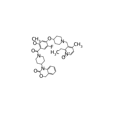 CCc1c(CN2CCC(Oc3cc(OC)c(C(=O)N4CCC(N5C(=O)OCc6ccccc65)CC4)cc3F)CC2)c(C)cc[n+]1[O-]